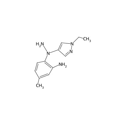 CCn1cc(N(N)c2ccc(C)cc2N)cn1